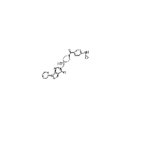 O=C(c1ccc(NC2CC2)cc1)N1CCC(O)(Cn2cnc3c(cnn3-c3ccccc3)c2=O)CC1